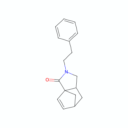 O=C1N(CCc2ccccc2)CC2CC3C=CC12C3